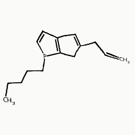 C=CCC1=Cc2ccp(CCCCC)c2C1